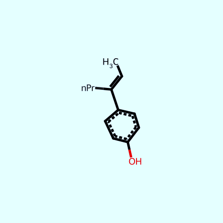 C/C=C(\CCC)c1ccc(O)cc1